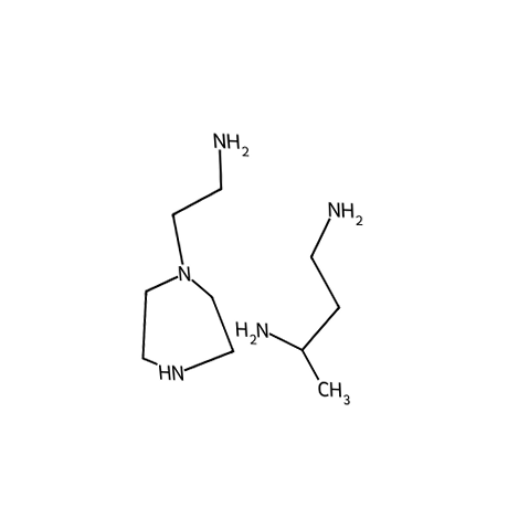 CC(N)CCN.NCCN1CCNCC1